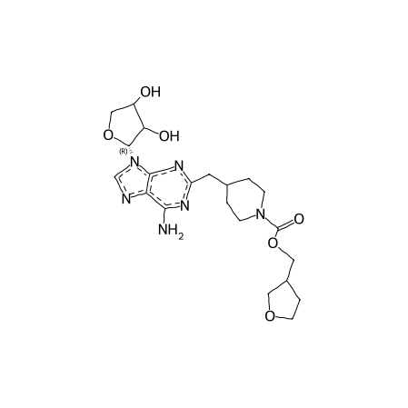 Nc1nc(CC2CCN(C(=O)OCC3CCOC3)CC2)nc2c1ncn2[C@@H]1OCC(O)C1O